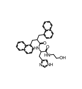 O=C(NC(Cc1c[nH]cn1)C(=O)NCCO)C(Cc1cccc2ccccc12)Cc1cccc2ccccc12